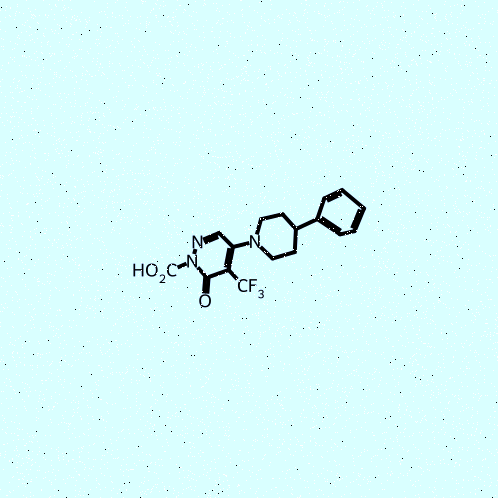 O=C(O)n1ncc(N2CCC(c3ccccc3)CC2)c(C(F)(F)F)c1=O